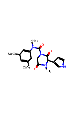 CCCCCCN(C(=O)N1CC(=O)N(C)C(c2cc[nH]c2)C1=O)C1=CC(OC)C=C(OC)C1